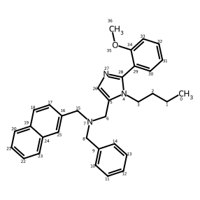 CCCCn1c(CN(Cc2ccccc2)Cc2ccc3ccccc3c2)cnc1-c1ccccc1OC